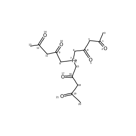 CC(=O)CC(=O)[CH2][Fe]([CH2]C(=O)CC(C)=O)[CH2]C(=O)CC(C)=O